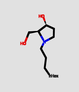 CCCCCCCCCN1CC[C@@H](O)[C@@H]1CO